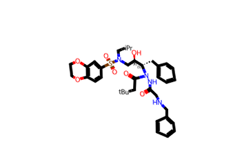 CC(C)CN(C[C@@H](O)[C@H](Cc1ccccc1)N(NC(=O)CNCc1ccccc1)C(=O)CC(C)(C)C)S(=O)(=O)c1ccc2c(c1)OCCO2